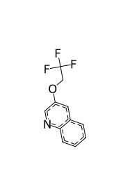 FC(F)(F)COc1cnc2ccccc2c1